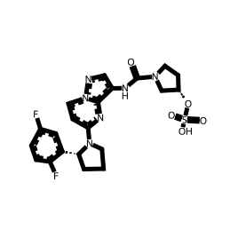 O=C(Nc1cnn2ccc(N3CCC[C@@H]3c3cc(F)ccc3F)nc12)N1CC[C@H](OS(=O)(=O)O)C1